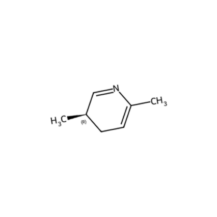 CC1=CC[C@@H](C)C=N1